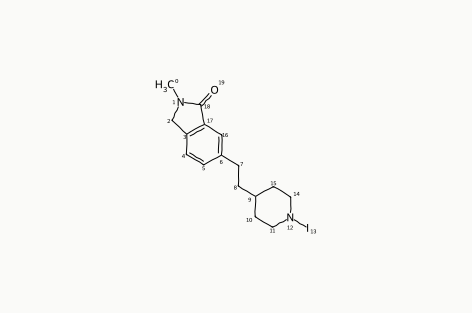 CN1Cc2ccc(CCC3CCN(I)CC3)cc2C1=O